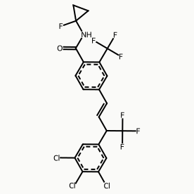 O=C(NC1(F)CC1)c1ccc(/C=C/C(c2cc(Cl)c(Cl)c(Cl)c2)C(F)(F)F)cc1C(F)(F)F